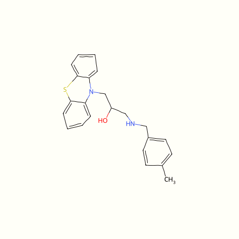 Cc1ccc(CNCC(O)CN2c3ccccc3Sc3ccccc32)cc1